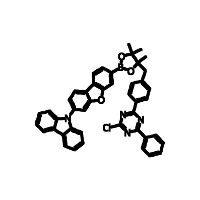 CC1(C)OB(c2ccc3c(c2)oc2cc(-n4c5ccccc5c5ccccc54)ccc23)OC1(C)Cc1ccc(-c2nc(Cl)nc(-c3ccccc3)n2)cc1